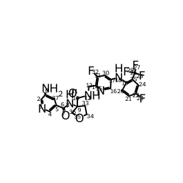 Nc1cncc(C(=O)N[C@@]2(C(=O)NCc3ncc(Nc4ccc(F)cc4C(F)(F)F)cc3F)CCOC2)c1